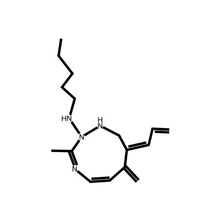 C=C/C=C1\CNN(NCCCCC)/C(C)=N\C=C/C1=C